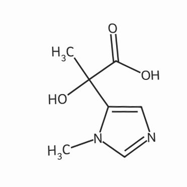 Cn1cncc1C(C)(O)C(=O)O